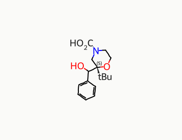 CC(C)(C)[C@@]1(C(O)c2ccccc2)CN(C(=O)O)CCO1